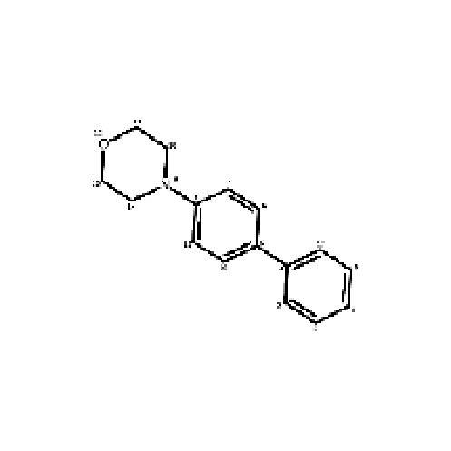 [c]1cccc(-c2ccc(N3CCOCC3)cc2)c1